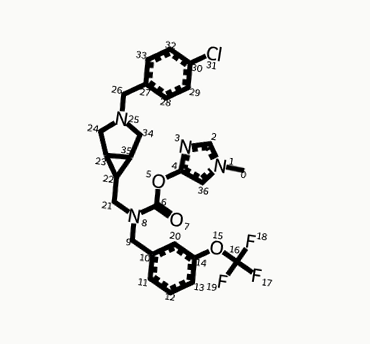 Cn1cnc(OC(=O)N(Cc2cccc(OC(F)(F)F)c2)CC2C3CN(Cc4ccc(Cl)cc4)CC32)c1